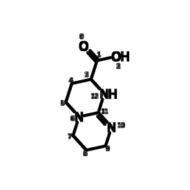 O=C(O)C1CCN2CCCN=C2N1